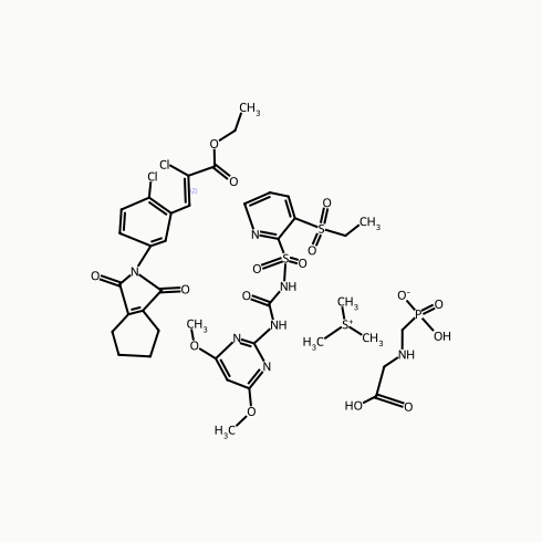 CCOC(=O)/C(Cl)=C/c1cc(N2C(=O)C3=C(CCCC3)C2=O)ccc1Cl.CCS(=O)(=O)c1cccnc1S(=O)(=O)NC(=O)Nc1nc(OC)cc(OC)n1.C[S+](C)C.O=C(O)CNCP(=O)([O-])O